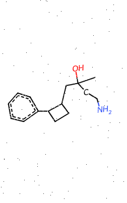 CC(O)(CCN)CC1CCC1c1ccccc1